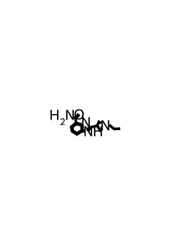 CCCN1CC(c2nc3c(C(N)=O)cccc3[nH]2)C1